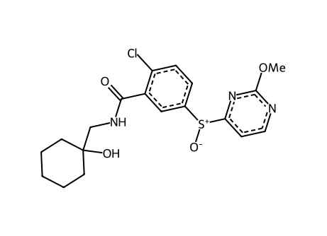 COc1nccc([S+]([O-])c2ccc(Cl)c(C(=O)NCC3(O)CCCCC3)c2)n1